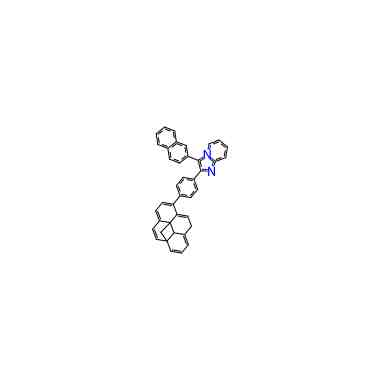 C1=CC23C=CC4=CC=C(c5ccc(-c6nc7ccccn7c6-c6ccc7ccccc7c6)cc5)C5=CCC(=C1)C2C45C3